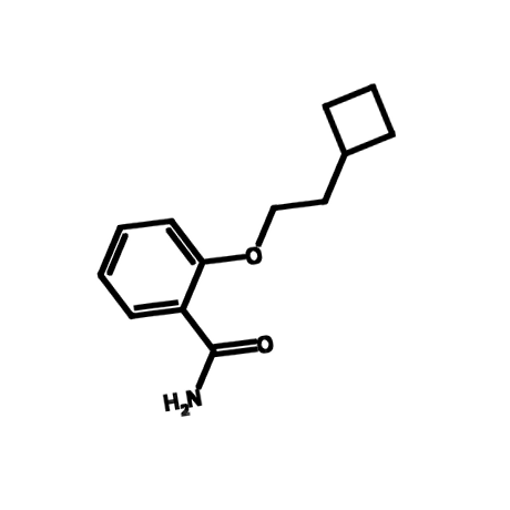 NC(=O)c1ccccc1OCCC1CCC1